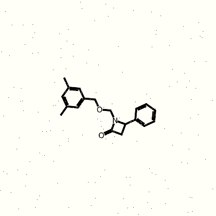 Cc1cc(C)cc(COCN2C(=O)CC2c2ccccc2)c1